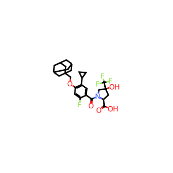 O=C(O)C1CC(O)(C(F)(F)F)CN1C(=O)c1cc(C2CC2)c(OCC23CC4CC(CC(C4)C2)C3)cc1F